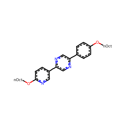 CCCCCCCCOc1ccc(-c2cnc(-c3ccc(OCCCCCCCC)nc3)cn2)cc1